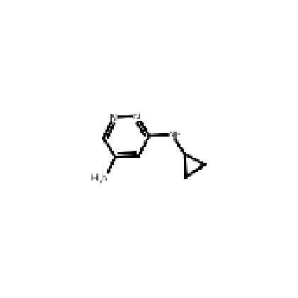 Nc1cnnc(NC2CC2)c1